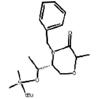 CC1OC[C@H](C(C)O[Si](C)(C)C(C)(C)C)N(Cc2ccccc2)C1=O